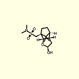 CN(C)S(=O)(=O)C[C@]12CC[C@@H]([C@@H]3C[C@@H](O)O[C@@H]31)C2(C)C